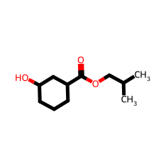 CC(C)COC(=O)C1CCCC(O)C1